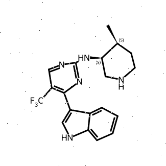 C[C@H]1CCNC[C@H]1Nc1ncc(C(F)(F)F)c(-c2c[nH]c3ccccc23)n1